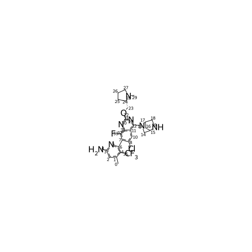 Cc1cc(N)nc(-c2c(Cl)cc3c(N4CC5CC4CN5)nc(OC[C@@H]4CCCN4C)nc3c2F)c1C(F)(F)F